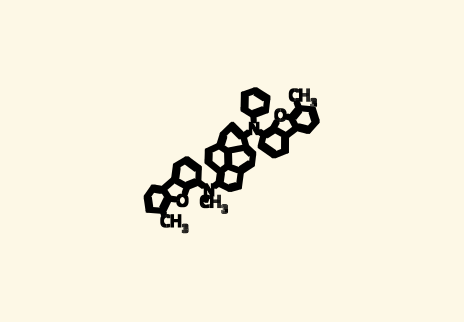 Cc1cccc2c1oc1c(N(C)c3ccc4ccc5c(N(c6ccccc6)c6cccc7c6oc6c(C)cccc67)ccc6ccc3c4c65)cccc12